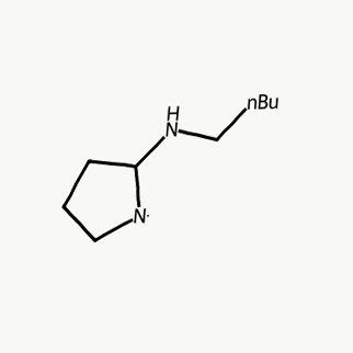 CCCCCNC1CCC[N]1